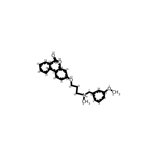 COc1cccc(CN(C)CCCOc2ccc3c(c2)oc(=O)c2ccccc23)c1